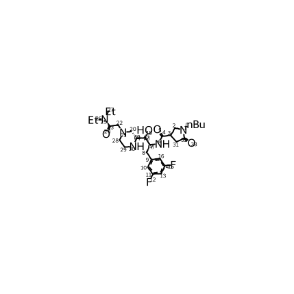 CCCCN1CC(C(=O)N[C@@H](Cc2cc(F)cc(F)c2)[C@H](O)[C@H]2CN(CC(=O)N(CC)CC)CCN2)CC1=O